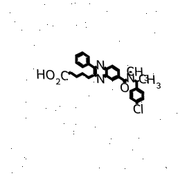 C[C@@H](c1ccc(Cl)cc1)N(C)C(=O)c1ccc2nc(-c3ccccc3)c(CCCCC(=O)O)nc2c1